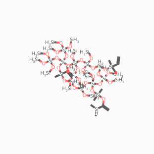 C=C[Si](C)(C)O[SiH2]O[Si](O[SiH3])(O[SiH3])O[Si](O[SiH3])(O[Si](O[SiH3])(O[SiH3])O[SiH3])O[Si](O[Si](C)(C=C)O[SiH2]O[SiH](O[SiH3])O[Si](O[SiH3])(O[Si](C)(C)OC(=C)[SiH](C)C)O[Si](O[SiH3])(O[SiH3])O[SiH3])(O[Si](O[SiH3])(O[SiH3])O[SiH3])O[Si](O[SiH3])(O[SiH3])O[SiH3]